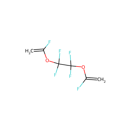 C=C(F)OC(F)(F)C(F)(F)OC(=C)F